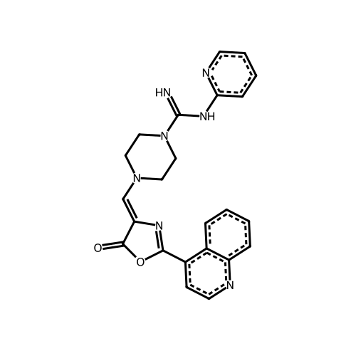 N=C(Nc1ccccn1)N1CCN(C=C2N=C(c3ccnc4ccccc34)OC2=O)CC1